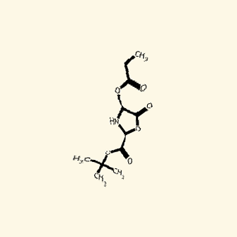 CCC(=O)O[C@@H]1N[C@H](C(=O)OC(C)(C)C)OC1=O